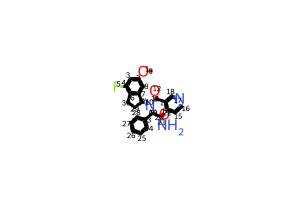 COc1cc(F)c2c(c1)[C@H](N(C(=O)c1cccnc1)[C@@H](C(N)=O)c1ccccc1)CC2